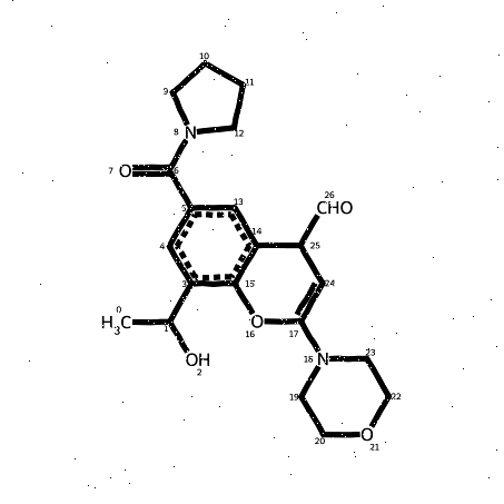 CC(O)c1cc(C(=O)N2CCCC2)cc2c1OC(N1CCOCC1)=CC2C=O